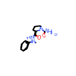 CN(NC(=O)C1CCCN1C(N)=O)c1ccccc1